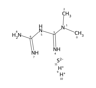 CN(C)C(=N)NC(=N)N.[H+].[H+].[S-2]